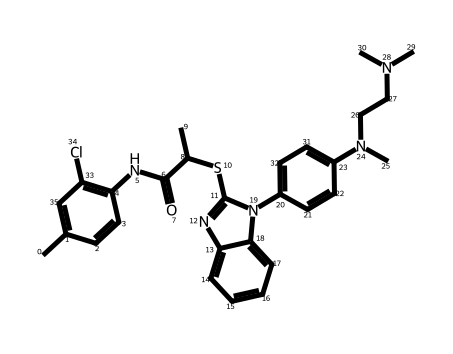 Cc1ccc(NC(=O)C(C)Sc2nc3ccccc3n2-c2ccc(N(C)CCN(C)C)cc2)c(Cl)c1